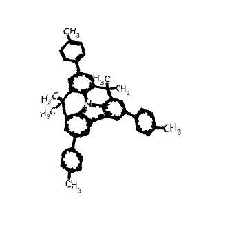 CC1=CC=C(c2cc3c4c(c2)C(C)(C)c2cc(-c5ccc(C)cc5)cc5c6cc(-c7ccc(C)cc7)cc(c6n-4c25)C3(C)C)CC1